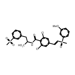 COc1cccc(P(C)(=O)/C=C/c2cc(Cl)c(C(=O)NC(Cc3cccc(S(C)(=O)=O)c3)C(=O)O)c(Cl)c2)c1